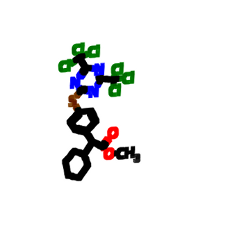 COC(=O)C(c1ccc(Sc2nc(C(Cl)(Cl)Cl)nc(C(Cl)(Cl)Cl)n2)cc1)C1CCCCC1